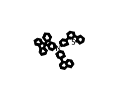 c1ccc(C2(c3ccc(N(c4ccc(-c5cccc6ccccc56)cc4)c4ccc(-c5cccc6c5sc5ccccc56)cc4)cc3)c3ccccc3-c3ccccc32)cc1